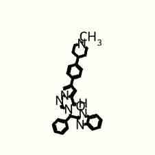 CN1CCC(c2ccc(-c3cc4c(=O)n(C(c5ccccc5)c5nc6ccccc6[nH]5)cnn4c3)cc2)CC1